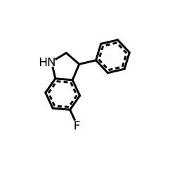 Fc1ccc2c(c1)C(c1ccccc1)CN2